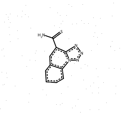 NC(=S)c1cc2ccccc2n2nnnc12